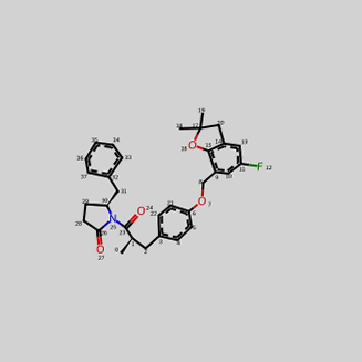 C[C@H](Cc1ccc(OCc2cc(F)cc3c2OC(C)(C)C3)cc1)C(=O)N1C(=O)CC[C@H]1Cc1ccccc1